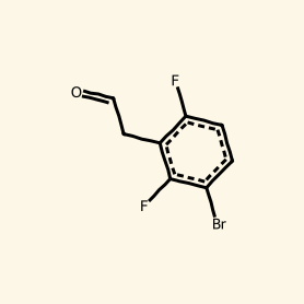 O=CCc1c(F)ccc(Br)c1F